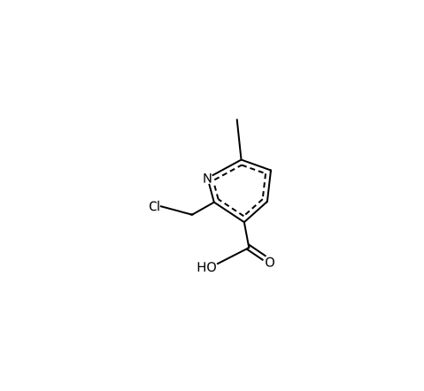 Cc1ccc(C(=O)O)c(CCl)n1